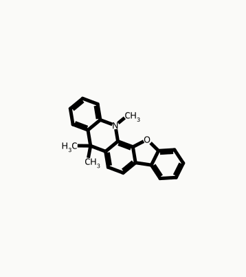 CN1c2ccccc2C(C)(C)c2ccc3c(oc4ccccc43)c21